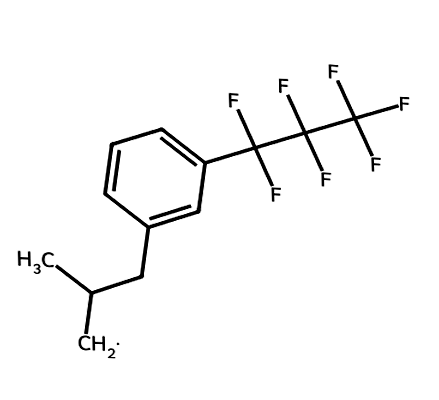 [CH2]C(C)Cc1cccc(C(F)(F)C(F)(F)C(F)(F)F)c1